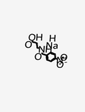 O=C(O)CCNC(=O)c1ccc([N+](=O)[O-])cc1.[NaH]